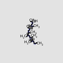 C=C/C=C\C=C(/C=C)S(=O)(=O)/C(C=C)=C/C=C(\C=C)O/C(C=C)=C/C=C(\C=C)S(=O)(=O)/C(C=C)=C/C=C(/O)C=C